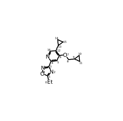 CCc1nc(-c2cc(OCC3CC3)c(C3CC3)cn2)no1